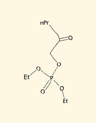 CCCC(=O)COP(=O)(OCC)OCC